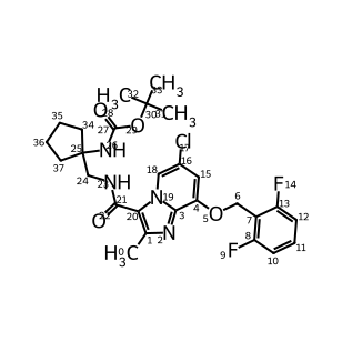 Cc1nc2c(OCc3c(F)cccc3F)cc(Cl)cn2c1C(=O)NCC1(NC(=O)OC(C)(C)C)CCCC1